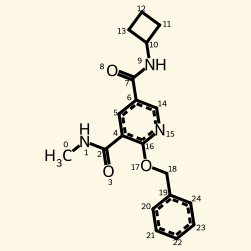 CNC(=O)c1cc(C(=O)NC2CCC2)cnc1OCc1ccccc1